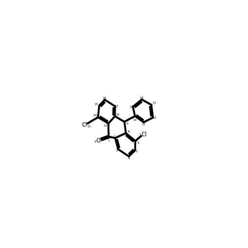 O=C1c2cccc(Cl)c2C(c2ccccc2)c2cccc(Cl)c21